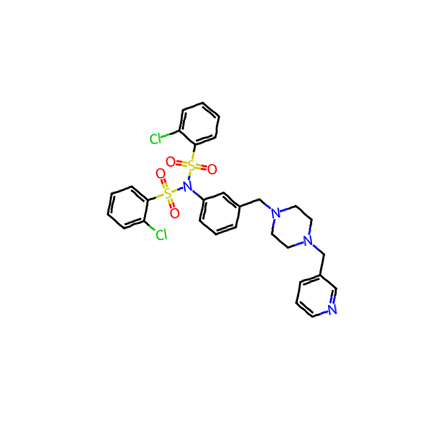 O=S(=O)(c1ccccc1Cl)N(c1cccc(CN2CCN(Cc3cccnc3)CC2)c1)S(=O)(=O)c1ccccc1Cl